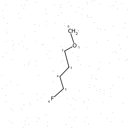 [CH2]OCCCCF